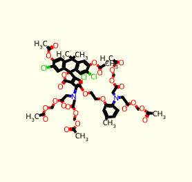 CC(=O)OCOC(=O)CN(CC(=O)OCOC(C)=O)c1ccc(C)cc1OCCOc1cc(Cl)c2c(c1N(CC(=O)OCOC(C)=O)CC(=O)OCOC(C)=O)C(=O)OC21c2cc(Cl)c(OC(C)=O)cc2C(C)(C)c2cc(OC(C)=O)c(Cl)cc21